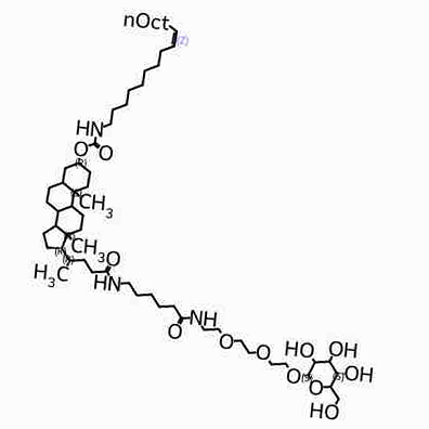 CCCCCCCC/C=C\CCCCCCCCNC(=O)O[C@@H]1CC[C@@]2(C)C(CCC3C2CC[C@@]2(C)C3CC[C@@H]2[C@H](C)CCC(=O)NCCCCCC(=O)NCCOCCOCCO[C@H]2OC(CO)[C@@H](O)C(O)C2O)C1